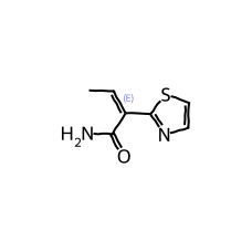 C/C=C(\C(N)=O)c1nccs1